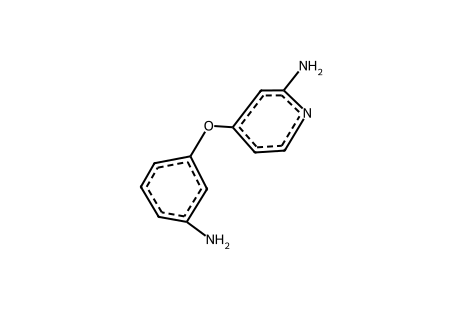 Nc1cccc(Oc2ccnc(N)c2)c1